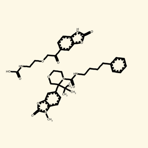 Cn1c(=O)oc2cc(C3(C(C)(C)C)COCCN3C(=O)NCCCCc3ccccc3)ccc21.O=C(O)NCCOCC(=O)c1ccc2[nH]c(=O)oc2c1